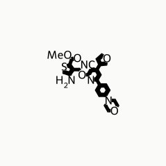 COC(=O)c1scc(N)c1COc1nc(-c2ccc(N3CCOCC3)cc2)cc(-c2ccoc2)c1C#N